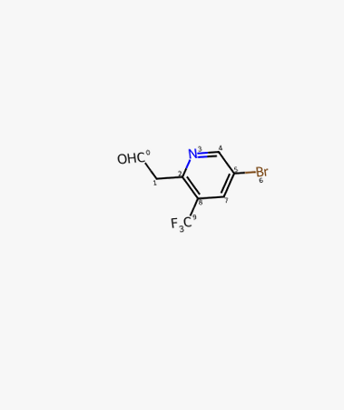 O=CCc1ncc(Br)cc1C(F)(F)F